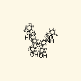 Cc1cccc(C)c1OC(=O)Nc1ccc(Oc2ccc(NC(=O)Oc3c(C)cccc3C)cc2-c2ccc(O)cc2)c(-c2ccc(O)cc2)c1